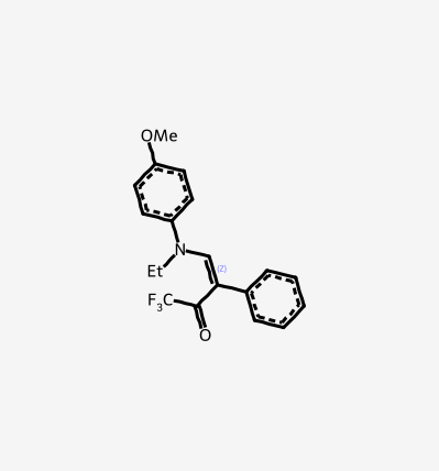 CCN(/C=C(\C(=O)C(F)(F)F)c1ccccc1)c1ccc(OC)cc1